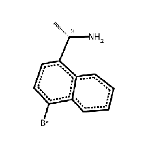 C[C@H](N)c1ccc(Br)c2ccccc12